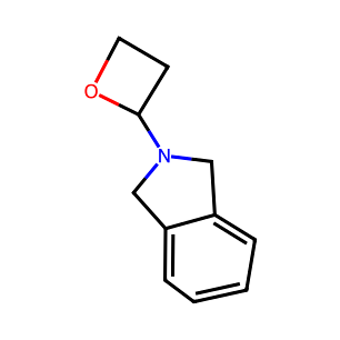 c1ccc2c(c1)CN(C1CCO1)C2